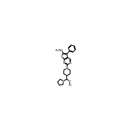 CCOC(C1CCN(c2ncc3c(-c4ccccc4)c(NC(C)=O)sc3n2)CC1)N1CCCC1